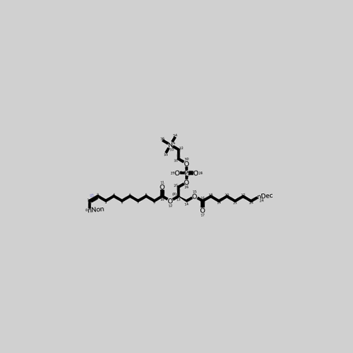 CCCCCCCCC/C=C\CCCCCCCC(=O)O[C@H](COC(=O)CCCCCCCCCCCCCCCC)COP(=O)([O-])OCC[N+](C)(C)C